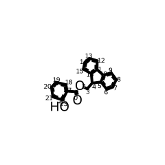 O=C(OCC1c2ccccc2-c2ccccc21)c1ccccc1O